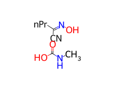 CCC/C(C#N)=N/O.CNC(=O)O